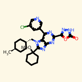 COC1(c2nc3nc(-c4n[nH]c(=O)o4)nc(-c4cncc(Cl)c4)c3n2C[C@H]2CC[C@H](C)CC2)CCCCC1